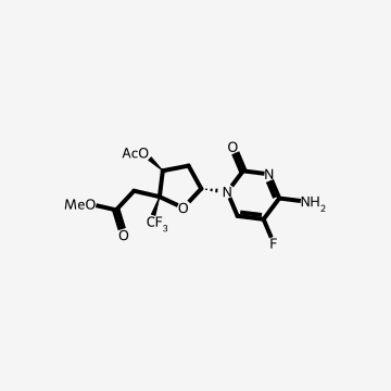 COC(=O)C[C@@]1(C(F)(F)F)O[C@@H](n2cc(F)c(N)nc2=O)C[C@@H]1OC(C)=O